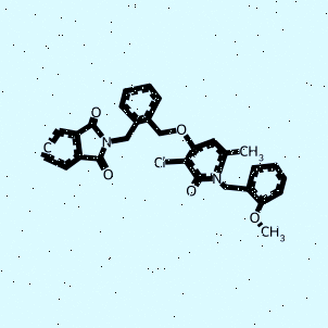 COc1ccccc1Cn1c(C)cc(OCc2ccccc2CN2C(=O)c3ccccc3C2=O)c(Cl)c1=O